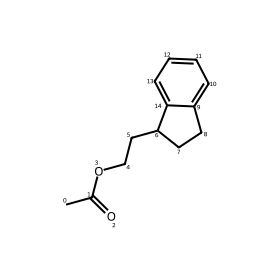 CC(=O)OCCC1CCc2ccccc21